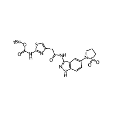 CC(C)(C)OC(=O)Nc1nc(CC(=O)Nc2n[nH]c3ccc(N4CCCS4(=O)=O)cc23)cs1